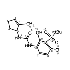 CC1=CCCC1NC(=O)Nc1ccc(Cl)c(S(=O)(=O)C(C)(C)C)c1O